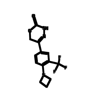 O=C1NN=C(c2ccc(N3CCC3)c(C(F)(F)F)c2)CO1